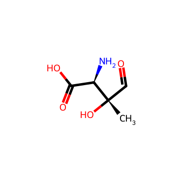 C[C@](O)(C=O)[C@H](N)C(=O)O